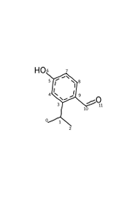 CC(C)c1cc(O)ccc1C=O